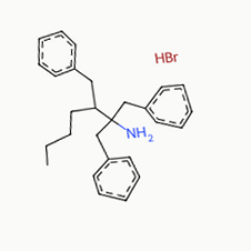 Br.CCCCC(Cc1ccccc1)C(N)(Cc1ccccc1)Cc1ccccc1